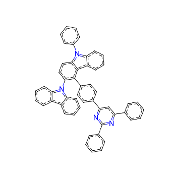 c1ccc(-c2cc(-c3ccc(-c4c(-n5c6ccccc6c6ccccc65)ccc5c4c4ccccc4n5-c4ccccc4)cc3)nc(-c3ccccc3)n2)cc1